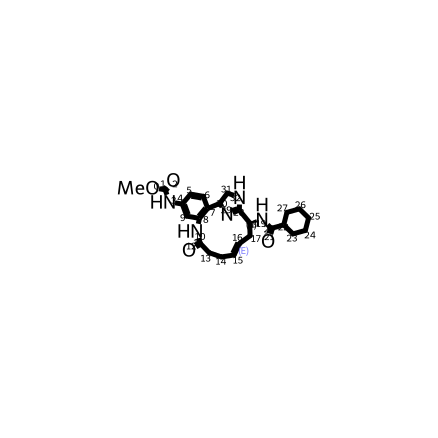 COC(=O)Nc1ccc2c(c1)NC(=O)CC/C=C/C[C@H](NC(=O)C1CCCCC1)C1=NC2CN1